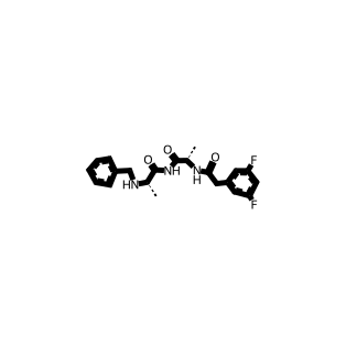 C[C@H](NCc1ccccc1)C(=O)NC(=O)[C@H](C)NC(=O)Cc1cc(F)cc(F)c1